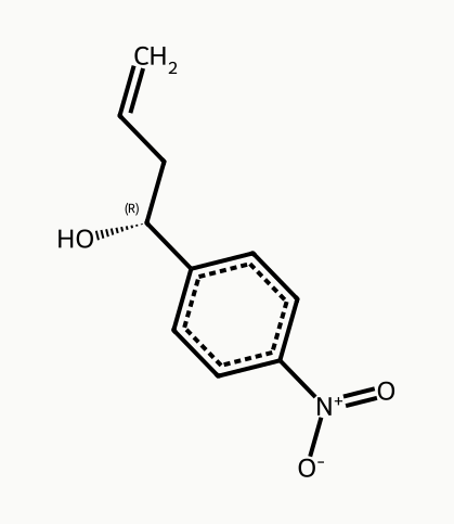 C=CC[C@@H](O)c1ccc([N+](=O)[O-])cc1